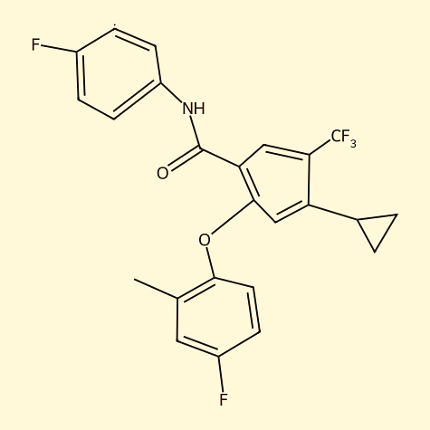 Cc1cc(F)ccc1Oc1cc(C2CC2)c(C(F)(F)F)cc1C(=O)Nc1c[c]c(F)cc1